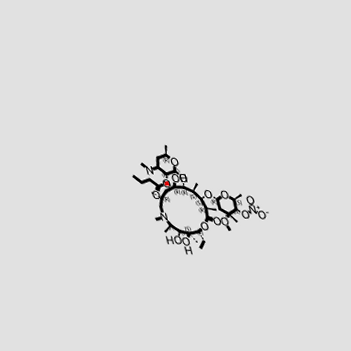 CCCC(=O)O[C@@H]1C(N(C)C)C[C@@H](C)O[C@H]1O[C@@H]1[C@@H](C)[C@H](O[C@H]2C[C@@](C)(OC)[C@@H](O[N+](=O)[O-])[C@H](C)O2)[C@@H](C)C(=O)O[C@H](CC)[C@@](C)(O)[C@H](O)[C@@H](C)N(C)C[C@H](C)C[C@@]1(C)O